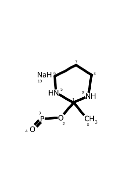 CC1(OP=O)NCCCN1.[NaH]